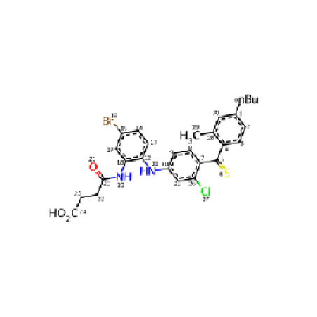 CCCCc1ccc(C(=S)c2ccc(Nc3ccc(Br)cc3NC(=O)CCC(=O)O)cc2Cl)c(C)c1